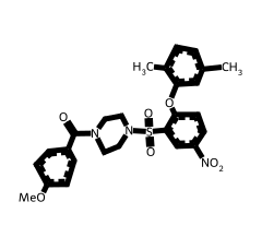 COc1ccc(C(=O)N2CCN(S(=O)(=O)c3cc([N+](=O)[O-])ccc3Oc3cc(C)ccc3C)CC2)cc1